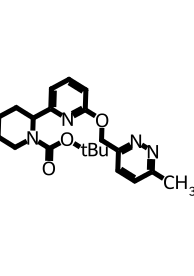 Cc1ccc(COc2cccc(C3CCCCN3C(=O)OC(C)(C)C)n2)nn1